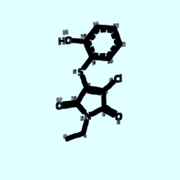 CCN1C(=O)C(Cl)=C(Sc2ccccc2O)C1=O